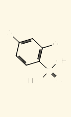 CP(C)(=O)c1ccc(O)cc1O